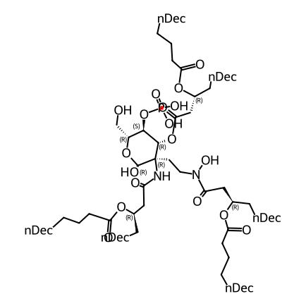 CCCCCCCCCCCCCC(=O)O[C@H](CCCCCCCCCCC)CC(=O)N[C@@]1(CCN(O)C(=O)C[C@@H](CCCCCCCCCCC)OC(=O)CCCCCCCCCCCCC)[C@H](O)O[C@H](CO)[C@@H](OP(=O)(O)O)[C@@H]1OC(=O)C[C@@H](CCCCCCCCCCC)OC(=O)CCCCCCCCCCCCC